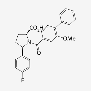 COc1cc(C(=O)N2[C@@H](c3ccc(F)cc3)CC[C@H]2C(=O)O)ccc1-c1ccccc1